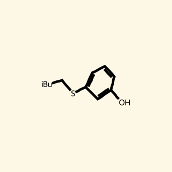 CCC(C)CSc1cccc(O)c1